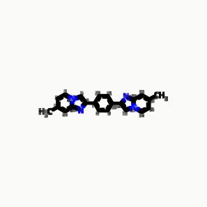 Cc1ccn2cc(-c3ccc(-c4cn5ccc(C)cc5n4)cc3)nc2c1